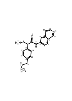 NCC(C(=O)Nc1ccc2cnccc2c1)c1ccc(CO[N+](=O)[O-])cc1